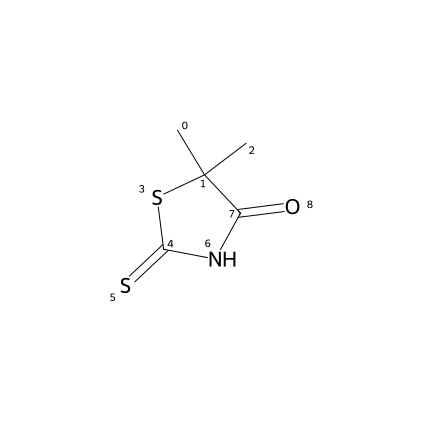 CC1(C)SC(=S)NC1=O